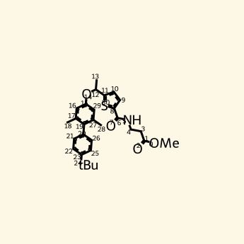 COC(=O)CCNC(=O)c1ccc(C(C)Oc2cc(C)c(-c3ccc(C(C)(C)C)cc3)c(C)c2)s1